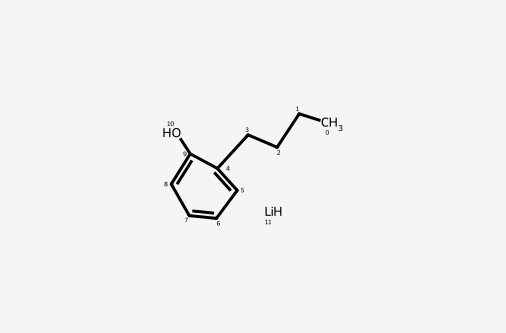 CCCCc1ccccc1O.[LiH]